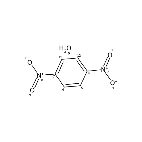 O.O=[N+]([O-])c1ccc([N+](=O)[O-])cc1